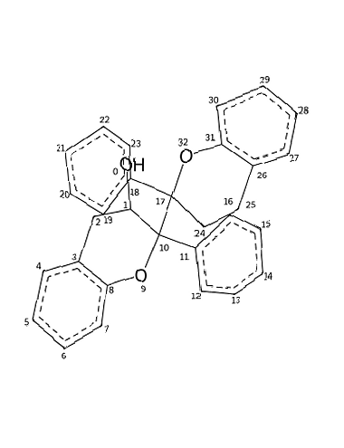 OC1Cc2ccccc2OC1(c1ccccc1)C1(c2ccccc2)CCc2ccccc2O1